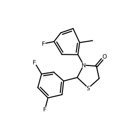 Cc1ccc(F)cc1N1C(=O)CSC1c1cc(F)cc(F)c1